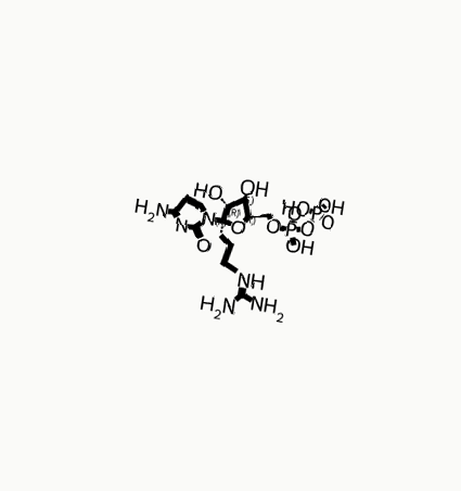 CCCC[C@@]1(n2ccc(N)nc2=O)O[C@H](COP(=O)(O)OP(=O)(O)O)[C@@H](O)[C@H]1O.N=C(N)N